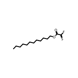 CCCCCCCCCCCCOC(=O)C(F)=S